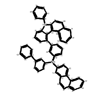 c1ccc(-c2cccc(N(c3cccc(-c4cccc5c4c4c6ccccc6ccc4n5-c4ccccc4)c3)c3ccc4c(ccc5ccccc54)c3)c2)cc1